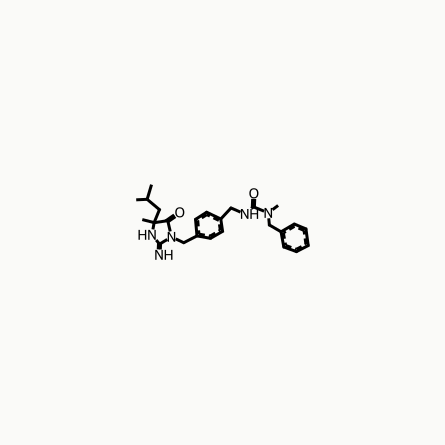 CC(C)CC1(C)NC(=N)N(Cc2ccc(CNC(=O)N(C)Cc3ccccc3)cc2)C1=O